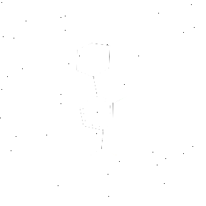 O=C(O)C(Br)c1ccc(C2CCCCC2)c(Cl)c1